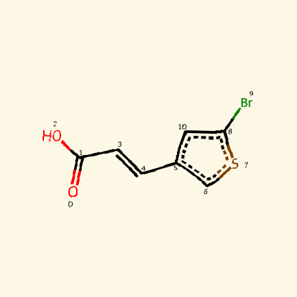 O=C(O)C=Cc1csc(Br)c1